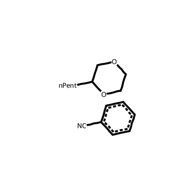 CCCCCC1COCCO1.N#Cc1ccccc1